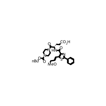 CCCCOC(=O)N1CCN(C(=O)[C@H](CCC(=O)O)NC(=O)c2nc(-c3ccccc3)sc2/C=C/COC)CC1